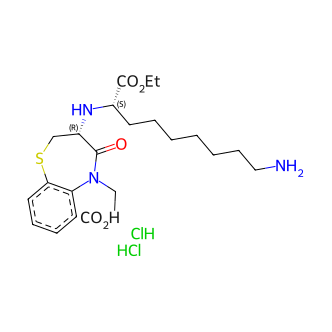 CCOC(=O)[C@H](CCCCCCCN)N[C@H]1CSc2ccccc2N(CC(=O)O)C1=O.Cl.Cl